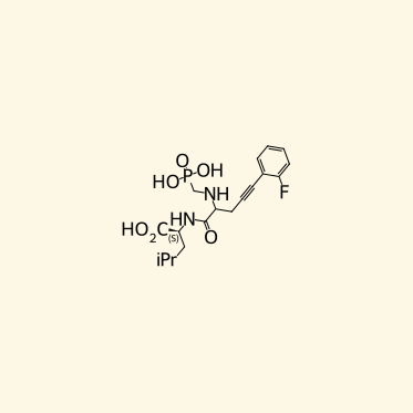 CC(C)C[C@H](NC(=O)C(CC#Cc1ccccc1F)NCP(=O)(O)O)C(=O)O